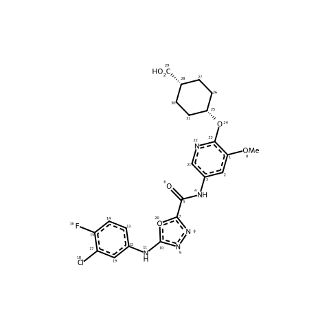 COc1cc(NC(=O)c2nnc(Nc3ccc(F)c(Cl)c3)o2)cnc1O[C@H]1CC[C@@H](C(=O)O)CC1